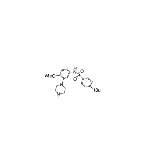 COc1ccc(NS(=O)(=O)c2ccc(C(C)(C)C)cc2)cc1N1CCN(C)CC1